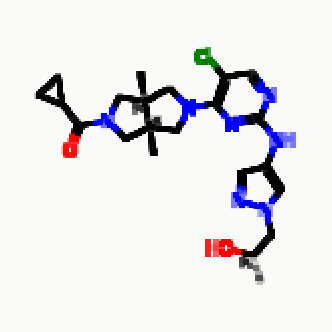 C[C@H](O)Cn1cc(Nc2ncc(Cl)c(N3C[C@]4(C)CN(C(=O)C5CC5)C[C@]4(C)C3)n2)cn1